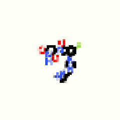 Cn1ccc(CN2CCN(c3cc(F)cc4c3CN(C3CCC(=O)NC3=O)C4=O)CC2)n1